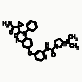 CN(C)[C@@H]1CCN(C(=O)Nc2cc(Oc3ccc(N(C(=O)C4(C(N)=O)CC4)c4ccccc4)c(F)c3)ccn2)C1